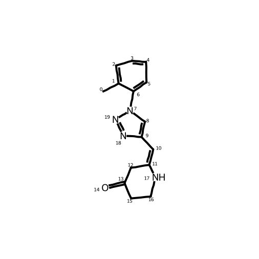 Cc1ccccc1-n1cc(C=C2CC(=O)CCN2)nn1